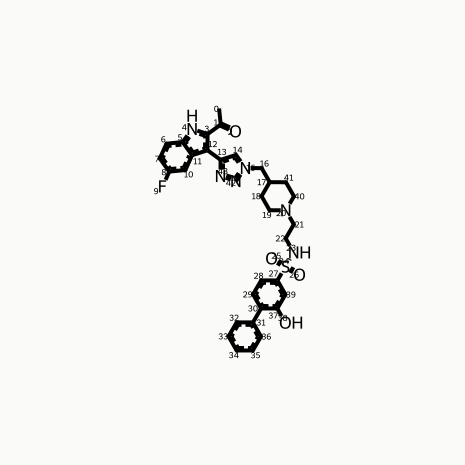 CC(=O)c1[nH]c2ccc(F)cc2c1-c1cn(CC2CCN(CCNS(=O)(=O)c3ccc(-c4ccccc4)c(O)c3)CC2)nn1